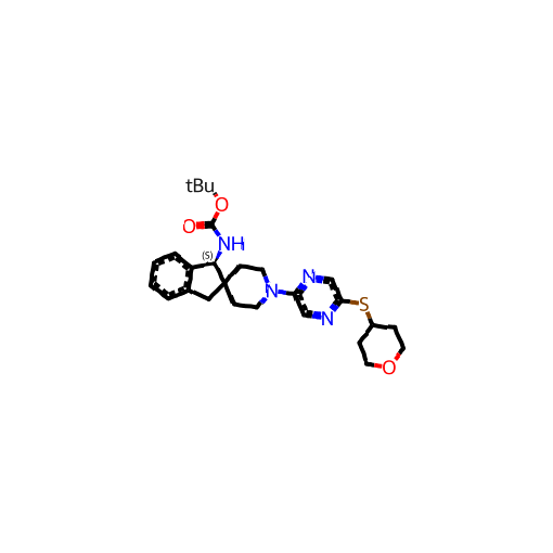 CC(C)(C)OC(=O)N[C@@H]1c2ccccc2CC12CCN(c1cnc(SC3CCOCC3)cn1)CC2